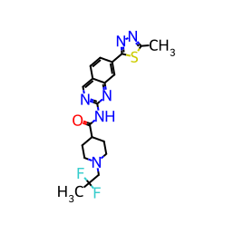 Cc1nnc(-c2ccc3cnc(NC(=O)C4CCN(CC(C)(F)F)CC4)nc3c2)s1